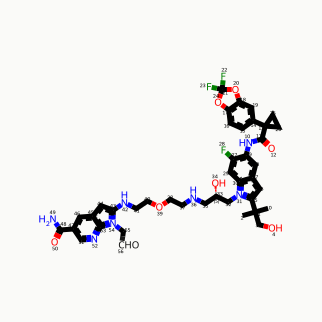 CC(C)(CO)c1cc2cc(NC(=O)C3(c4ccc5c(c4)OC(F)(F)O5)CC3)c(F)cc2n1C[C@@H](O)CNCCOCCNc1cc2cc(C(N)=O)cnc2n1CC=O